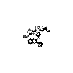 C=C[C@@H]1C[C@]1(CC(=O)[C@@H]1C[C@@H](Oc2nc3ccccc3nc2C2=CCCS2)CN1C(=O)[C@@H](NC(=O)OC(C)(C)C)C(C)(C)C)C(=O)O